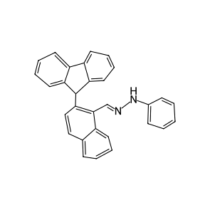 C(=NNc1ccccc1)c1c(C2c3ccccc3-c3ccccc32)ccc2ccccc12